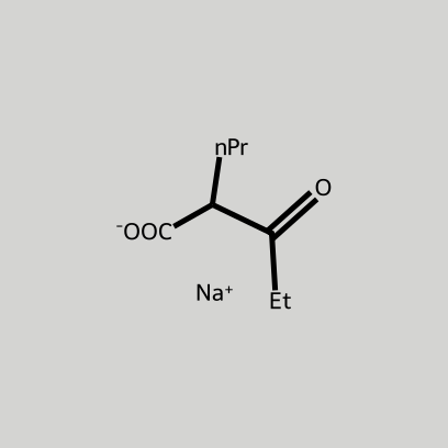 CCCC(C(=O)[O-])C(=O)CC.[Na+]